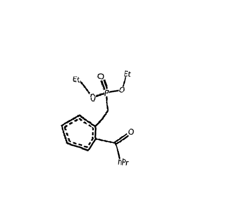 CCCC(=O)c1ccccc1CP(=O)(OCC)OCC